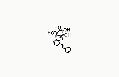 OC[C@H]1O[C@@H](Oc2c(F)cc(F)cc2/C=C/c2ccccc2)[C@H](O)[C@@H](O)[C@@H]1O